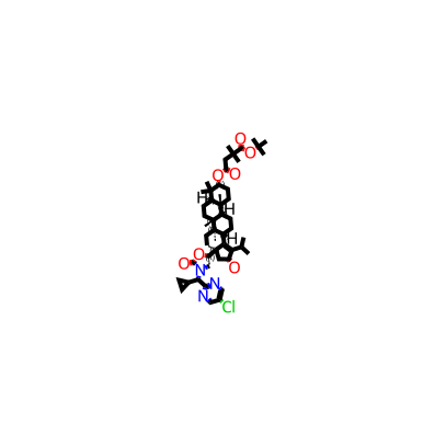 CC(C)C1=C2[C@H]3CC[C@@H]4[C@@]5(C)CC[C@H](OC(=O)CC(C)(C)C(=O)OC(C)(C)C)C(C)(C)[C@@H]5CC[C@@]4(C)[C@]3(C)CC[C@@]2([C@@H]2CN(C(c3ncc(Cl)cn3)C3CC3)C(=O)O2)CC1=O